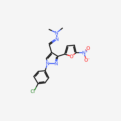 CN(C)N=Cc1cn(-c2ccc(Cl)cc2)nc1-c1ccc([N+](=O)[O-])o1